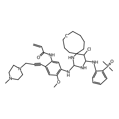 C=CC(=O)Nc1cc(NC2NC(Nc3ccccc3P(C)(C)=O)C(Cl)C3(CCCCCCCC3)N2)c(OC)cc1C#CCN1CCN(C)CC1